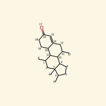 CC1CC2(C)C(C)CCC2C2C(C)CC3=CC(=O)CCC3C12